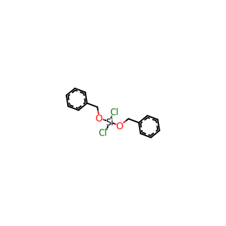 Cl[Si](Cl)(OCc1ccccc1)OCc1ccccc1